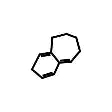 [C]1=C2CCCCC=C2C=CC1